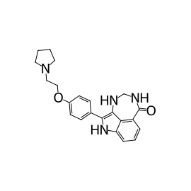 O=C1NCNc2c(-c3ccc(OCCN4CCCC4)cc3)[nH]c3cccc1c23